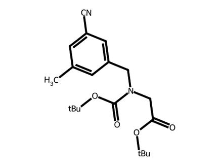 Cc1cc(C#N)cc(CN(CC(=O)OC(C)(C)C)C(=O)OC(C)(C)C)c1